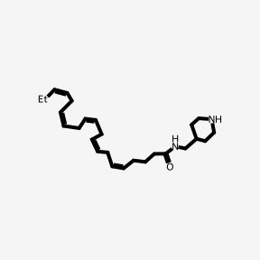 CC/C=C\C/C=C\C/C=C\C/C=C\C/C=C\CCCC(=O)NCC1CCNCC1